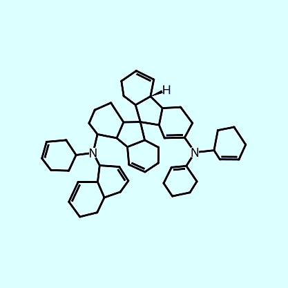 C1=CC(N(C2=CCCCC2)C2=CC3C(CC2)[C@H]2C=CCCC2C32C3CCC=CC3C3C(N(C4CC=CCC4)C4C=CCC5CCC=CC54)CCCC32)CCC1